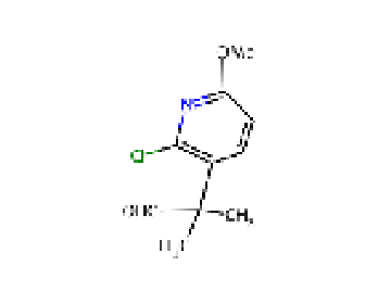 COc1ccc(C(C)(C)C=O)c(Cl)n1